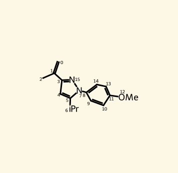 C=C(C)c1cc(C(C)C)n(-c2ccc(OC)cc2)n1